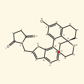 O=C1CCC(=O)N1Cc1cc2nccc(-c3cc(Cl)cc4c3[C@@]3(CCC4)CNCCO3)c2s1